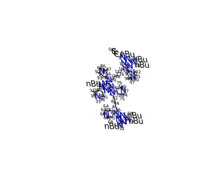 C=C=C=CN(CCCC)c1nc(N(CCCC)CCCC)nc(N(CCCCCCN(c2nc(N(CCCC)C3CC(C)(C)N(C)C(C)(C)C3)nc(N(CCCCCCN(c3nc(N(C)CCCC)nc(N(CCCC)CCCC)n3)C3CC(C)(C)N(C)C(C)(C)C3)C3CC(C)(C)N(C)C(C)(C)C3)n2)C2CC(C)(C)N(C)C(C)(C)C2)C2CC(C)(C)N(C)C(C)(C)C2)n1